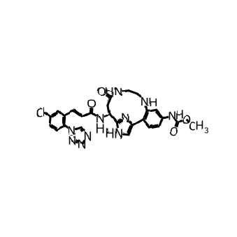 COC(=O)Nc1ccc2c(c1)NCCNC(=O)C[C@H](NC(=O)/C=C/c1cc(Cl)ccc1-n1cnnn1)c1nc-2c[nH]1